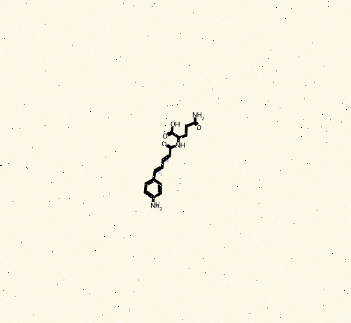 NC(=O)CCC(NC(=O)/C=C/C=C/c1ccc(N)cc1)C(=O)O